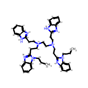 CCCn1c(CCN(CCc2nc3ccccc3[nH]2)CCN(CCc2nc3ccccc3[nH]2)CCc2nc3ccccc3n2CCC)nc2ccccc21